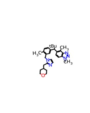 Cc1ccc(C(c2ccc3c(nnn3C)c2C)C(C)(C)C)cc1Cn1ccnc1CC1CCOCC1